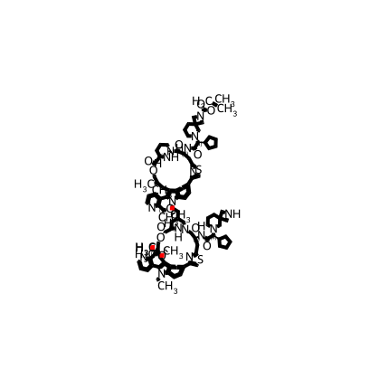 CCn1c(-c2cccnc2[C@H](C)OC)c2c3cc(ccc31)-c1csc(n1)C[C@H](NC(=O)[C@H](C1CCCC1)N1CCCC3(CNC3)C1)C(=O)N1CC(CCn3c(-c4cccnc4[C@H](C)OC)c4c5cc(ccc53)-c3csc(n3)C[C@H](NC(=O)[C@H](C3CCCC3)N3CCCC5(CN(C(=O)OC(C)(C)C)C5)C3)C(=O)N3CCC[C@H](N3)C(=O)OCC(C)(C)C4)C[C@H](N1)C(=O)OCC(C)(C)C2